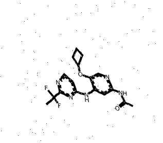 CC(=O)Nc1cc(Nc2ccnc(C(C)(F)F)n2)c(OC2CCC2)cn1